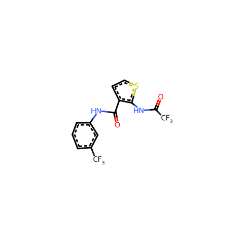 O=C(Nc1cccc(C(F)(F)F)c1)c1ccsc1NC(=O)C(F)(F)F